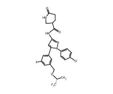 C[C@@H](OCc1cc(F)cc(-c2cc(NC(=O)C3CCC(=O)NC3)nn2-c2ccc(Cl)cc2)c1)C(F)(F)F